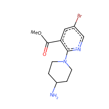 COC(=O)c1cc(Br)cnc1N1CCC(N)CC1